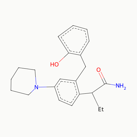 CCC(C(N)=O)c1ccc(N2CCCCC2)cc1Cc1ccccc1O